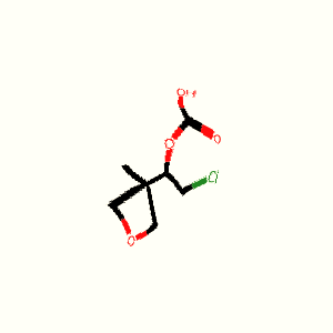 CC1(C(CCl)OC(=O)O)COC1